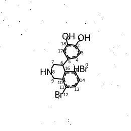 Br.Oc1ccc(C2CNCc3c(Br)cccc32)cc1O